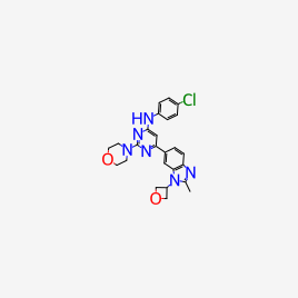 Cc1nc2ccc(-c3cc(Nc4ccc(Cl)cc4)nc(N4CCOCC4)n3)cc2n1C1COC1